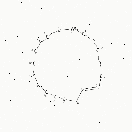 C1=C/CCCCCNCCCCCCCCCCC/1